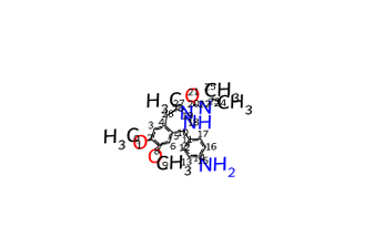 COc1cc2c(cc1OC)C(c1ccc(N)cc1)=NN(C(=O)NC(C)C)C(C)C2